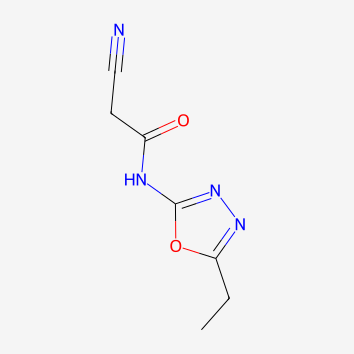 CCc1nnc(NC(=O)CC#N)o1